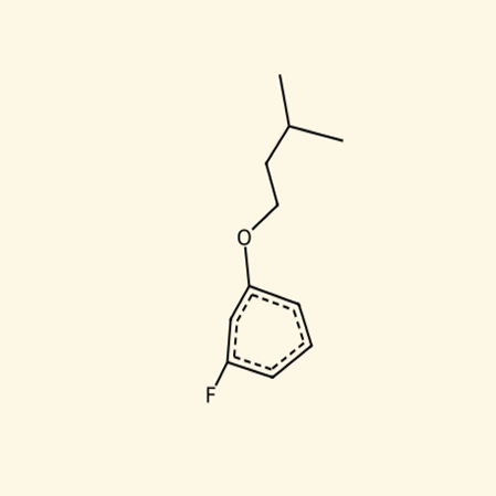 CC(C)CCOc1cccc(F)c1